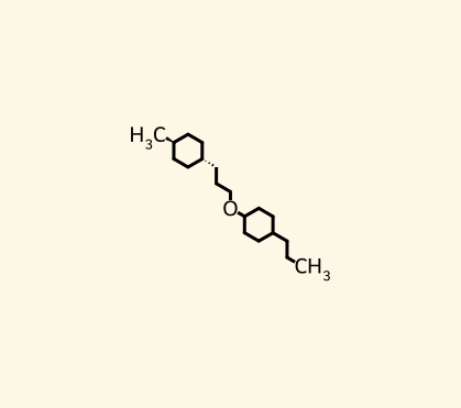 CCCC1CCC(OCCC[C@H]2CC[C@H](C)CC2)CC1